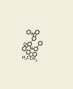 CC1(C)c2ccccc2-c2c(N(c3cccc(-c4ccccc4)c3)c3cc(-c4ccc5c6ccccc6n(-c6ccccc6)c5c4)cc4oc5ccccc5c34)cccc21